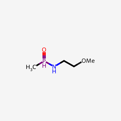 COCCN[PH](C)=O